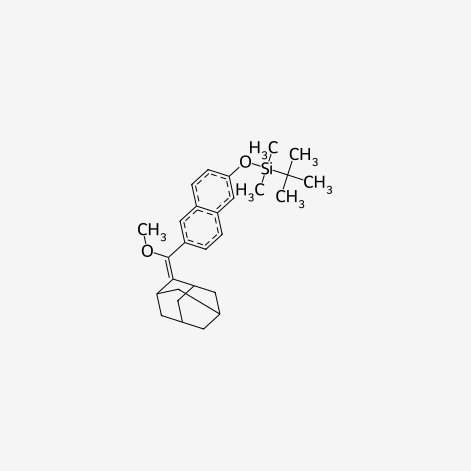 COC(=C1C2CC3CC(C2)CC1C3)c1ccc2cc(O[Si](C)(C)C(C)(C)C)ccc2c1